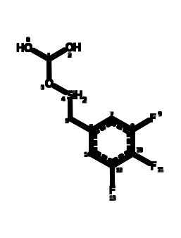 OC(O)O[SiH2]Cc1cc(F)c(F)c(F)c1